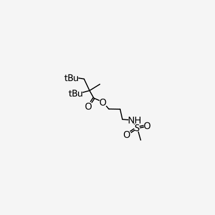 CC(C)(C)CC(C)(C(=O)OCCCNS(C)(=O)=O)C(C)(C)C